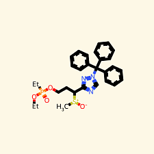 CCOP(=O)(CC)OCCC(c1ncn(C(c2ccccc2)(c2ccccc2)c2ccccc2)n1)[S+](C)[O-]